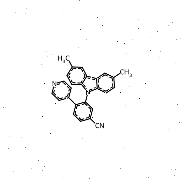 Cc1ccc2c(c1)c1cc(C)ccc1n2-c1cc(C#N)ccc1-c1ccncc1